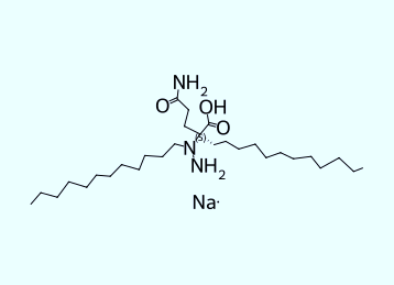 CCCCCCCCCCCCN(N)[C@@](CCCCCCCCCCCC)(CCC(N)=O)C(=O)O.[Na]